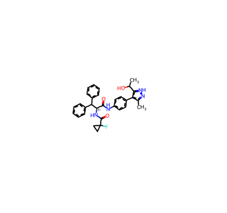 Cc1n[nH]c(C(C)O)c1-c1ccc(NC(=O)[C@@H](NC(=O)C2(F)CC2)C(c2ccccc2)c2ccccc2)cc1